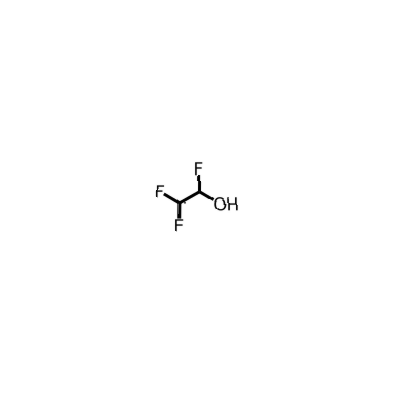 OC(F)[C](F)F